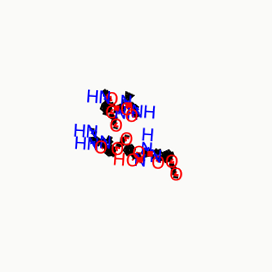 CNC[C@H]1CNC[C@H]1CN(C(=O)c1ccc(C)c(OCCCOC)c1)C(C)C.COCCCOc1c(C)ccc(C(=O)NC(C)C)c1C[C@@H]1CNC[C@H]1CN(C(=O)CC(C)(C)NC(C)=O)C1CC1.COCCCOc1cc(C(=O)N(C[C@@H]2CNC[C@H]2CN(C)C(=O)[C@@H](O)c2ccccc2)C(C)C)ccc1C